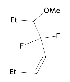 [CH2]CC(OC)C(F)(F)/C=C\CC